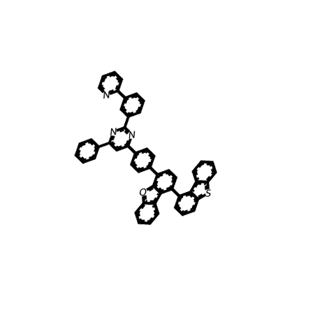 c1ccc(-c2cc(-c3ccc(-c4ccc(-c5cccc6sc7ccccc7c56)c5c4oc4ccccc45)cc3)nc(-c3cccc(-c4ccccn4)c3)n2)cc1